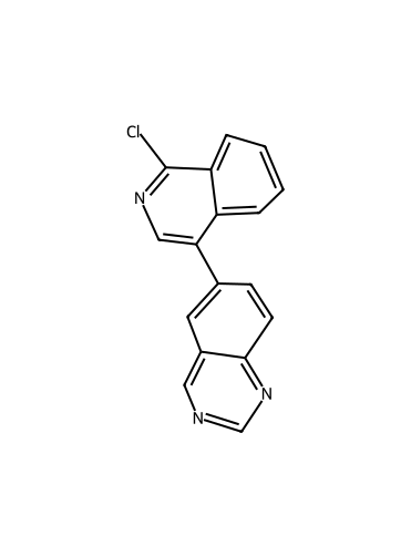 Clc1ncc(-c2ccc3ncncc3c2)c2ccccc12